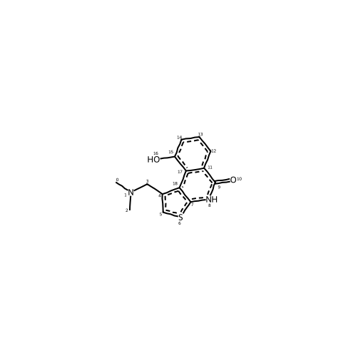 CN(C)Cc1csc2[nH]c(=O)c3cccc(O)c3c12